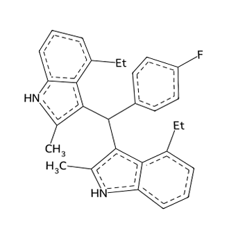 CCc1cccc2[nH]c(C)c(C(c3ccc(F)cc3)c3c(C)[nH]c4cccc(CC)c34)c12